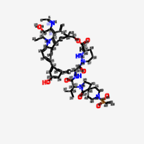 C=C/C(=C(\N=C/C)[C@H](C)OC)c1c2c3cc(ccc3n1CC)-c1cc(O)cc(c1)C[C@H](NC(=O)[C@H](C(C)C)N1CCC3(CCN(S(=O)(=O)C=C)CC3)C1=O)C(=O)N1CCC[C@H](N1)C(=O)OCC(C)(C)C2